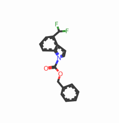 O=C(OCc1ccccc1)n1ccc2c(C(F)F)cccc21